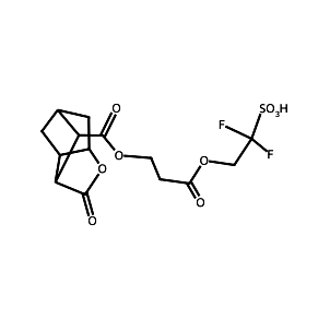 O=C(CCOC(=O)C1C2CC3OC(=O)C1C3C2)OCC(F)(F)S(=O)(=O)O